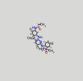 C=CC(=O)Nc1cc(Nc2ncc(Cl)c(Nc3ccc(F)cc3P(C)(C)=O)n2)c(OC)cc1F